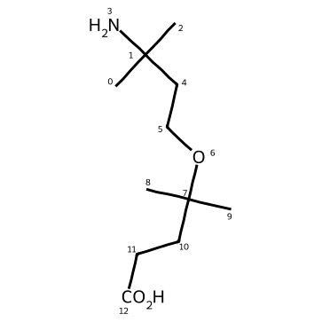 CC(C)(N)CCOC(C)(C)CCC(=O)O